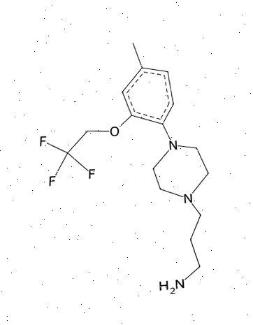 Cc1ccc(N2CCN(CCCN)CC2)c(OCC(F)(F)F)c1